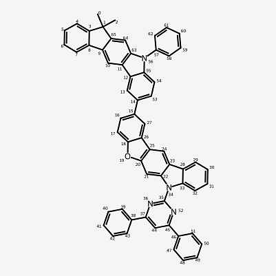 CC1(C)c2ccccc2-c2cc3c4cc(-c5ccc6oc7cc8c(cc7c6c5)c5ccccc5n8-c5nc(-c6ccccc6)cc(-c6ccccc6)n5)ccc4n(-c4ccccc4)c3cc21